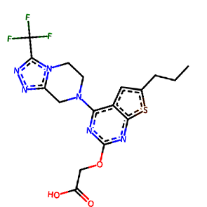 CCCc1cc2c(N3CCn4c(nnc4C(F)(F)F)C3)nc(OCC(=O)O)nc2s1